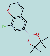 CC1(C)OB(c2cc(F)c3c(c2)C=CCO3)OC1(C)C